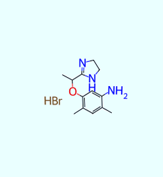 Br.Cc1cc(C)c(OC(C)C2=NCCN2)cc1N